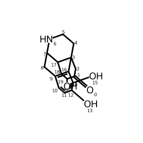 O=C1CC23CCNC(Cc4ccc(O)c(O)c42)C3CC1O